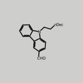 CCCCCCCCCCCCn1c2ccccc2c2cc(C=O)ccc21